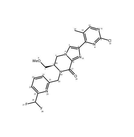 COC[C@H]1Cn2cc(-c3nc(Cl)ncc3C)nc2C(=O)N1Cc1cccc(C(F)F)n1